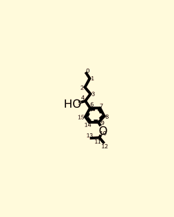 CCCCC(O)c1ccc(OC(C)C)cc1